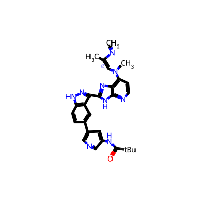 C=N/C(C)=C\N(C)c1ccnc2[nH]c(-c3n[nH]c4ccc(-c5cncc(NC(=O)C(C)(C)C)c5)cc34)nc12